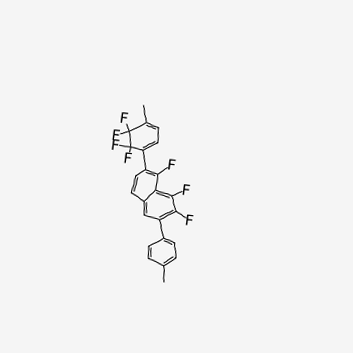 CC1=CC=C(c2ccc3cc(-c4ccc(C)cc4)c(F)c(F)c3c2F)C(F)(F)C1(F)F